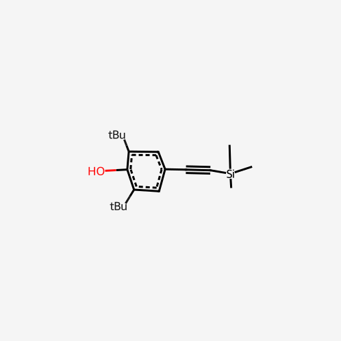 CC(C)(C)c1cc(C#C[Si](C)(C)C)cc(C(C)(C)C)c1O